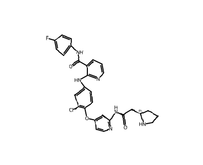 O=C(C[C@H]1CCCN1)Nc1cc(Oc2ccc(Nc3ncccc3C(=O)Nc3ccc(F)cc3)cc2Cl)ccn1